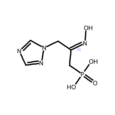 O=P(O)(O)C/C(Cn1cncn1)=N/O